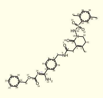 CC1=C(CC(=O)NCc2ccc(/C(N)=N/C(=O)OCc3ccccc3)cc2)C(=O)N(NS(=O)(=O)c2cc(C)ccc2C)CC1